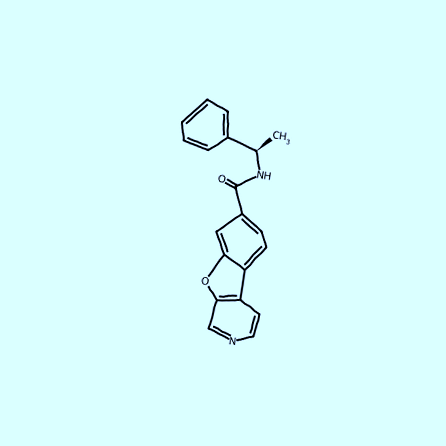 C[C@@H](NC(=O)c1ccc2c(c1)oc1cnccc12)c1ccccc1